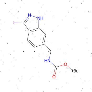 CC(C)(C)OC(=O)NCc1ccc2c(I)n[nH]c2c1